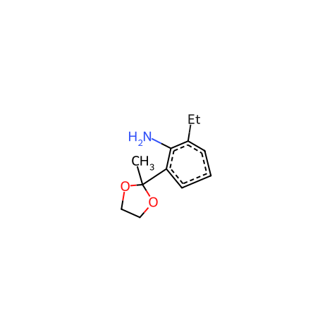 CCc1cccc(C2(C)OCCO2)c1N